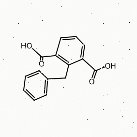 O=C(O)c1cccc(C(=O)O)c1Cc1ccccc1